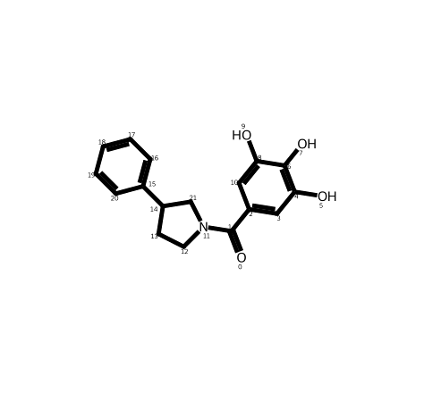 O=C(c1cc(O)c(O)c(O)c1)N1CCC(c2ccccc2)C1